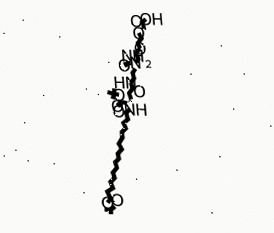 CC(C)(C)OC(=O)CCCCCCCCCCCCCCCCC(=O)N[C@@H](CCC(=O)NCCCN(CCOCCOCC(=O)O)C(N)=O)C(=O)OC(C)(C)C